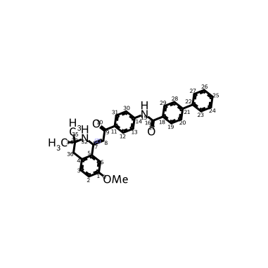 COc1ccc2c(c1)/C(=C/C(=O)c1ccc(NC(=O)c3ccc(-c4ccccc4)cc3)cc1)NC(C)(C)C2